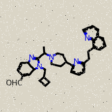 CC(C1=NC2C=CC(C=O)=CC2N1CC1CCC1)N1CCC(c2cccc(CCc3cccc4cccnc34)n2)CC1